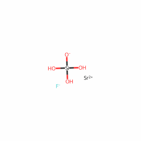 [F-].[O-][Si](O)(O)O.[Sr+2]